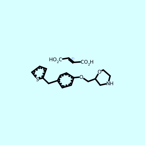 O=C(O)/C=C/C(=O)O.c1csc(Cc2ccc(OCC3CNCCO3)cc2)c1